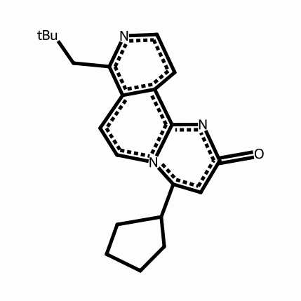 CC(C)(C)Cc1nccc2c1ccn1c(C3CCCC3)cc(=O)nc21